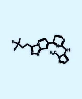 Cn1nccc1Nc1nccc(-c2ccn3c(CCC(F)(F)F)nnc3c2)n1